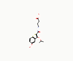 COC(=O)CCCNC(=O)c1sc2ccc(OC)cc2c1OC(C)C